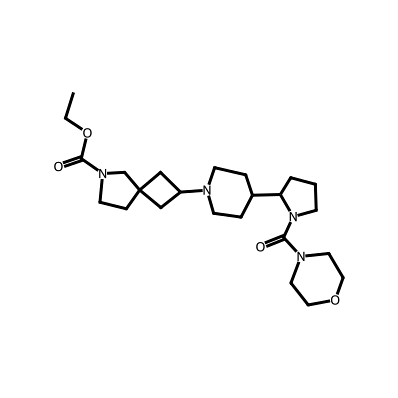 CCOC(=O)N1CCC2(CC(N3CCC(C4CCCN4C(=O)N4CCOCC4)CC3)C2)C1